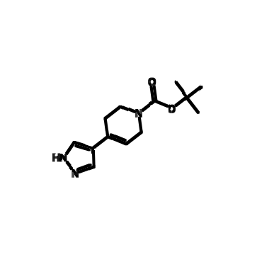 CC(C)(C)OC(=O)N1CC=C(c2cn[nH]c2)CC1